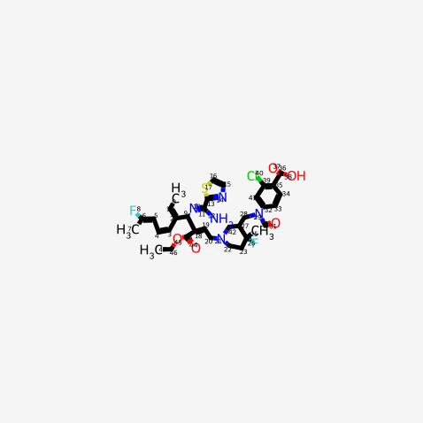 C/C=C(/C=C\C=C(/C)F)[C@H](/N=C(\N)c1nccs1)/C(=C/CN1CCC(C)(F)C(CN(C=O)c2ccc(C(=O)O)c(Cl)c2)C1)C(=O)OCC